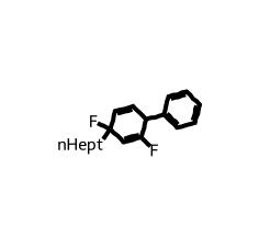 CCCCCCCC1(F)C=CC(c2ccccc2)C(F)=C1